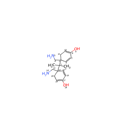 CC(C)(C1(CN)C=CC(O)=CC1)C1(CN)C=CC(O)=CC1